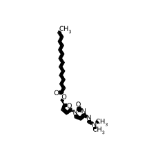 CCCCCCCCCCCCCCCC(=O)OC[C@@H]1C=C[C@H](n2ccc(N=CN(C)C)nc2=O)O1